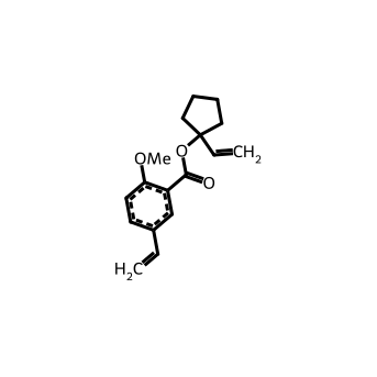 C=Cc1ccc(OC)c(C(=O)OC2(C=C)CCCC2)c1